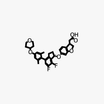 Cc1cc(OC2CCOCC2)cc(C)c1-c1cc(F)c(F)c2c1CC[C@H]2Oc1ccc2c(c1)OCC2CC(=O)O